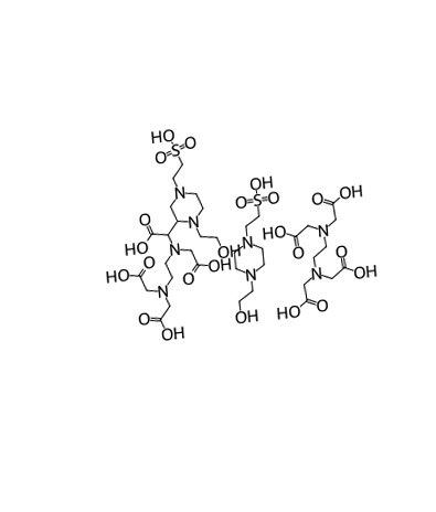 O=C(O)CN(CCN(CC(=O)O)C(C(=O)O)C1CN(CCS(=O)(=O)O)CCN1CCO)CC(=O)O.O=C(O)CN(CCN(CC(=O)O)CC(=O)O)CC(=O)O.O=S(=O)(O)CCN1CCN(CCO)CC1